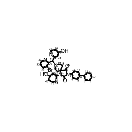 O=C1N(c2ccc(-c3ccccc3)cc2)C(=O)C2(CCN(C(c3cc(O)ccn3)c3ncccc3Br)CC2)N1c1cc(O)ccn1